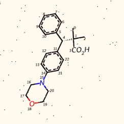 CC(C)(C(=O)O)[C@@H](c1ccccc1)c1ccc(N2CCOCC2)cc1